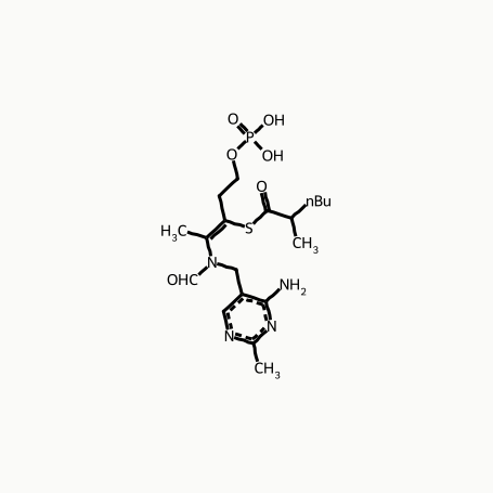 CCCCC(C)C(=O)SC(CCOP(=O)(O)O)=C(C)N(C=O)Cc1cnc(C)nc1N